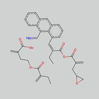 C=C(CC1CO1)C(=O)OC(=O)C(=Cc1cccc2cc3ccccc3c(C=N)c12)CC.C=C(CCOC(=O)C(=C)CC)C(=O)O